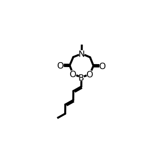 CC/C=C/C=C/B1OC(=O)CN(C)CC(=O)O1